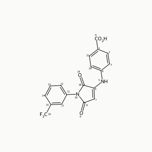 O=C(O)c1ccc(NC2=CC(=O)N(c3cccc(C(F)(F)F)c3)C2=O)cc1